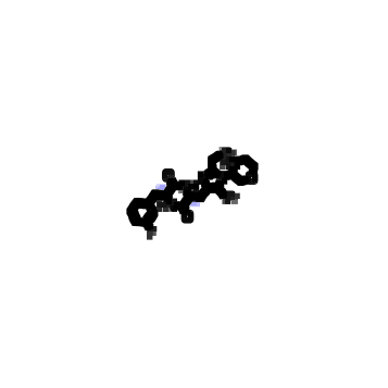 CC(C)Cc1nc(/C=c2\[nH]c(=O)/c(=C/c3cccc(F)c3)[nH]c2=O)c(C(C)C)n1C1COCCN1